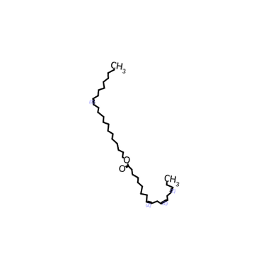 CC/C=C\C/C=C\C/C=C\CCCCCCCC(=O)OCCCCCCCCCCCC/C=C\CCCCCCCC